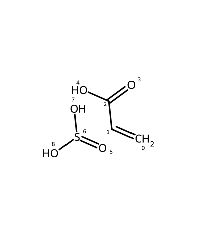 C=CC(=O)O.O=S(O)O